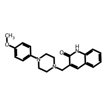 COc1ccc(N2CCN(Cc3cc4ccccc4[nH]c3=O)CC2)cc1